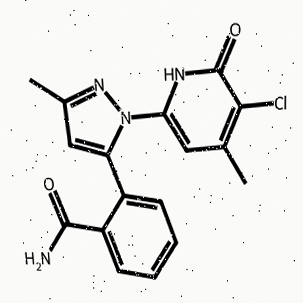 Cc1cc(-c2ccccc2C(N)=O)n(-c2cc(C)c(Cl)c(=O)[nH]2)n1